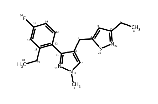 CCc1cc(Cc2cn(C)nc2-c2ccc(F)cc2CC)sn1